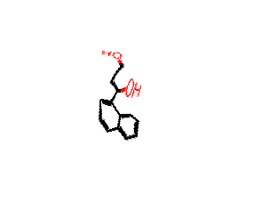 OCCC(O)c1cccc2ccccc12